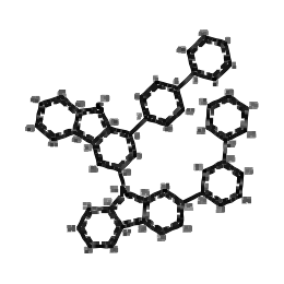 c1ccc(-c2ccc(-c3cc(-n4c5ccccc5c5ccc(-c6cccc(-c7ccccc7)c6)cc54)cc4c3sc3ccccc34)cc2)cc1